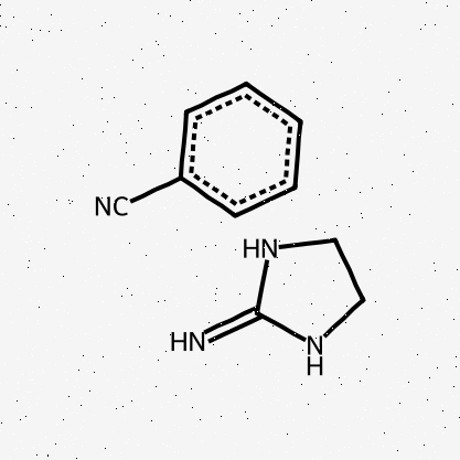 N#Cc1ccccc1.N=C1NCCN1